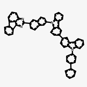 c1ccc(-c2ccc(-n3c4ccccc4c4cc(-c5ccc6c(c5)c5ccccc5n6-c5ccc6cc(-c7nc8c9c(cccc9n7)-c7ccccc7-8)ccc6c5)ccc43)cc2)cc1